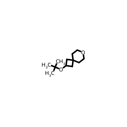 CC(C)(C)OC1CC2(CCOCC2)C1